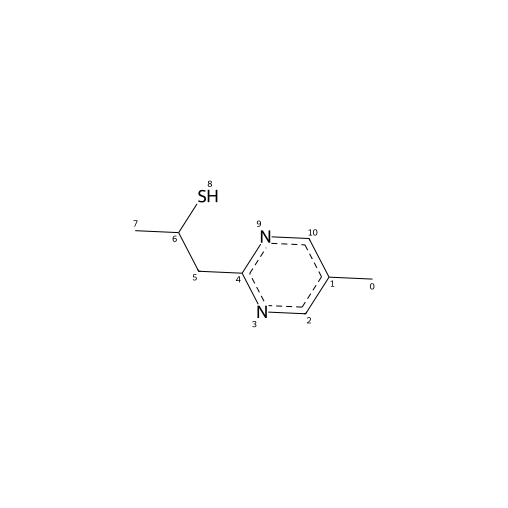 Cc1cnc(CC(C)S)nc1